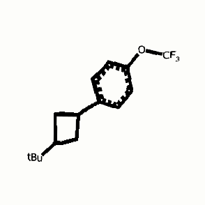 CC(C)(C)C1CC(c2ccc(OC(F)(F)F)cc2)C1